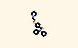 O=C(c1ccc(OCCN2CCCCC2)cc1)N(c1ccccc1)c1ccccc1